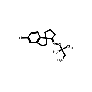 CC(C)(CN)ON=C1CCCC12CCc1cc(Cl)ccc12